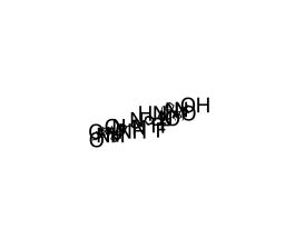 COC(=O)N[C@@H](C)C(=O)N1CCC[C@H]1c1ncc(-c2cnc(-c3ccc(-c4[nH]c([C@@H]5CCCN5C(=O)[C@H](C)N(C)C(=O)O)nc4C(F)(F)F)cc3)nc2)[nH]1